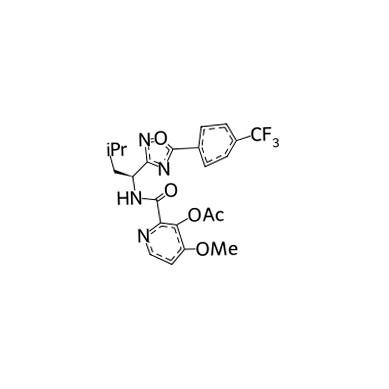 COc1ccnc(C(=O)N[C@@H](CC(C)C)c2noc(-c3ccc(C(F)(F)F)cc3)n2)c1OC(C)=O